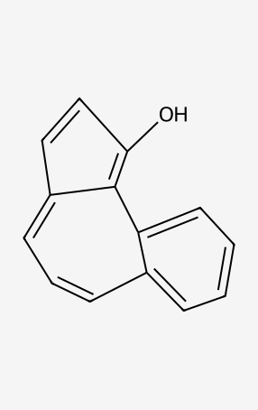 Oc1ccc2cccc3ccccc3c1-2